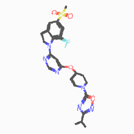 CC(C)c1noc(N2CCC(Oc3cc(N4CCc5cc(S(C)(=O)=O)cc(F)c54)ncn3)CC2)n1